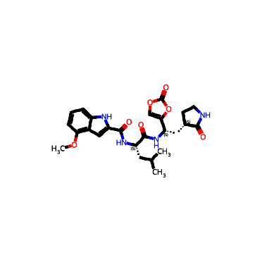 COc1cccc2[nH]c(C(=O)N[C@@H](CC(C)C)C(=O)N[C@@H](C[C@@H]3CCNC3=O)c3coc(=O)o3)cc12